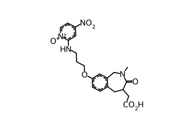 CN1Cc2cc(OCCCNc3cc([N+](=O)[O-])cc[n+]3[O-])ccc2CC(CC(=O)O)C1=O